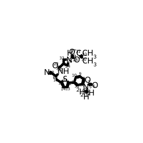 [2H]C([2H])([2H])n1c(=O)oc2ccc(-c3ccc(C[C@@H](C#N)NC(=O)C4CN(C(=O)OC(C)(C)C)C4)s3)cc21